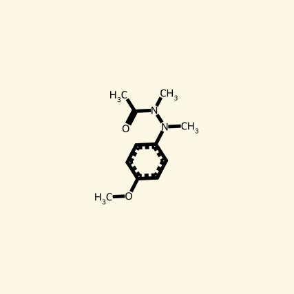 COc1ccc(N(C)N(C)C(C)=O)cc1